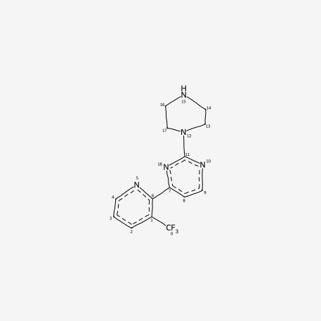 FC(F)(F)c1cccnc1-c1ccnc(N2CCNCC2)n1